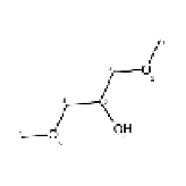 CO[CH]C(O)COC